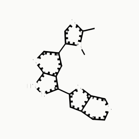 Cc1ncc(-c2cnc3[nH]nc(-c4cc5ccncc5[nH]4)c3c2)n1C